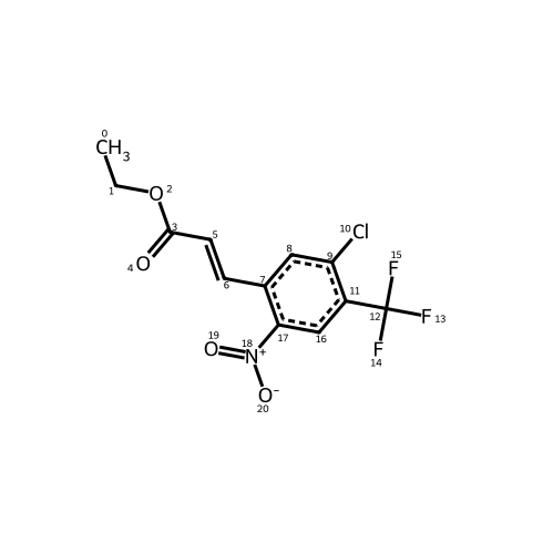 CCOC(=O)/C=C/c1cc(Cl)c(C(F)(F)F)cc1[N+](=O)[O-]